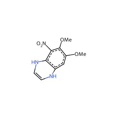 COc1cc2c(c([N+](=O)[O-])c1OC)NC=CN2